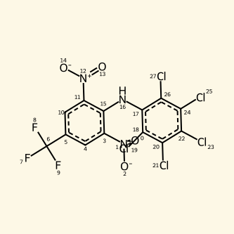 O=[N+]([O-])c1cc(C(F)(F)F)cc([N+](=O)[O-])c1Nc1c(Cl)c(Cl)c(Cl)c(Cl)c1Cl